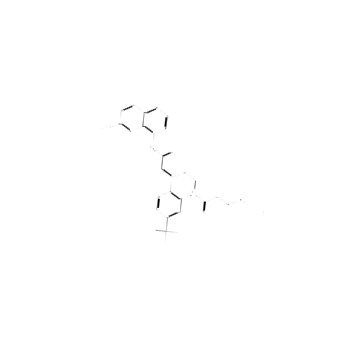 CCCCC(=O)N1CCC(=CC(=O)Nc2cccc3ccc(O)cc23)c2ccc(C(F)(F)F)cc21